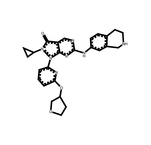 O=c1c2cnc(Nc3ccc4c(c3)CNCC4)nc2n(-c2cccc(OC3CCOC3)n2)n1C1CC1